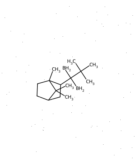 BC(B)(C1CC2CCC1(C)C2(C)C)C(C)(C)C